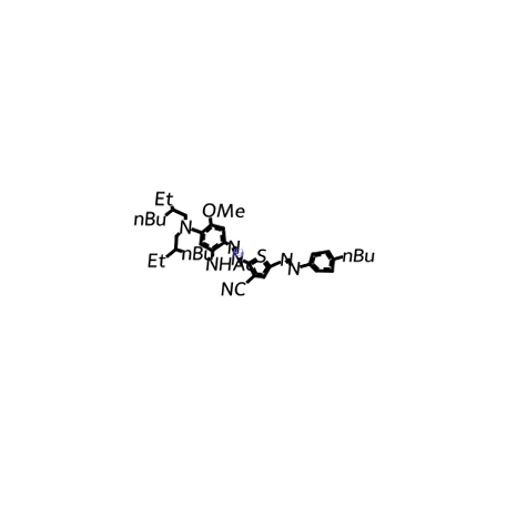 CCCCc1ccc(N=Nc2cc(C#N)c(/N=N/c3cc(OC)c(N(CC(CC)CCCC)CC(CC)CCCC)cc3NC(C)=O)s2)cc1